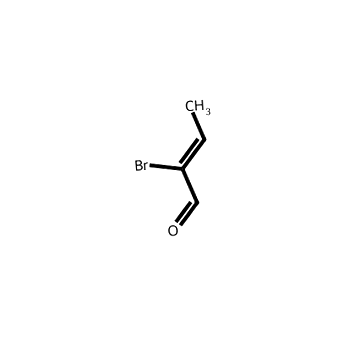 CC=C(Br)C=O